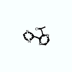 CC(=O)c1nccnc1-c1cnccn1